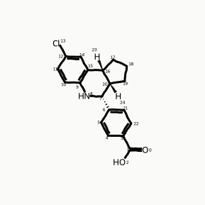 O=C(O)c1ccc([C@@H]2Nc3ccc(Cl)cc3[C@@H]3CCC[C@@H]32)cc1